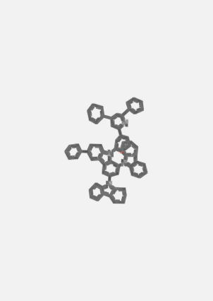 c1ccc(-c2cc(-c3ccccc3)nc(-c3cccc(-n4c5ccc(-c6ccccc6)cc5c5cc(-n6c7ccccc7c7ccccc76)cc(-n6c7ccccc7c7ccccc76)c54)c3)c2)cc1